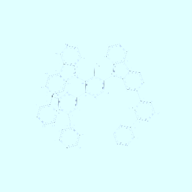 N#Cc1c(-n2c3ccccc3c3ccc(-c4cccc(-c5ccccc5)n4)cc32)ccc(-c2cc(F)cc(F)c2)c1-n1c2ccccc2c2ccc(-c3cccc(-c4ccccc4)n3)cc21